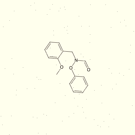 COc1ccccc1CN(C=O)Oc1ccccc1